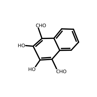 O=Cc1c(O)c(O)c(C=O)c2ccccc12